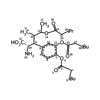 CCC(C)CC(=O)Oc1ccc(C(C(C)C(C)OC(=O)CC(C)C)[C@H](N)C(=O)O)cc1OC(=O)CC(C)CC